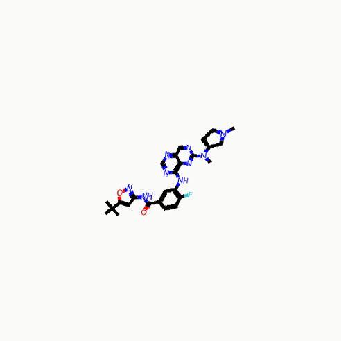 CN1CCC(N(C)c2ncc3ncnc(Nc4cc(C(=O)Nc5cc(C(C)(C)C)on5)ccc4F)c3n2)C1